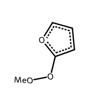 COOc1ccco1